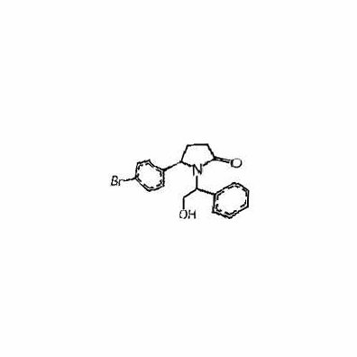 O=C1CC[C@H](c2ccc(Br)cc2)N1C(CO)c1ccccc1